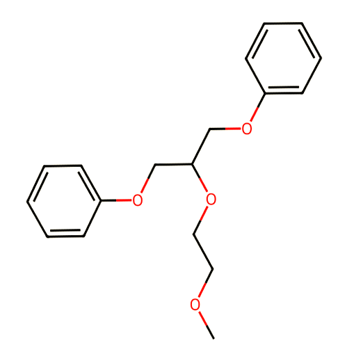 COCCOC(COc1ccccc1)COc1ccccc1